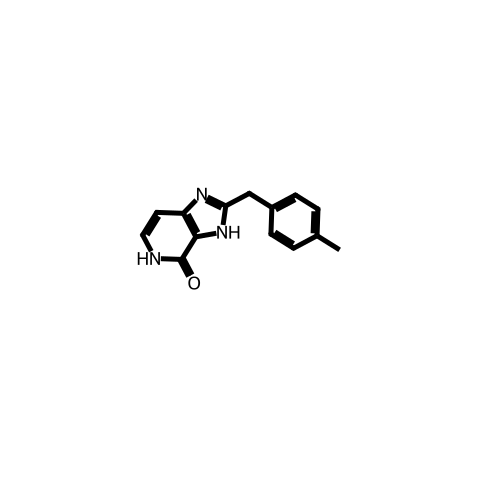 Cc1ccc(Cc2nc3cc[nH]c(=O)c3[nH]2)cc1